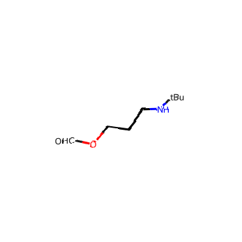 CC(C)(C)NCCCOC=O